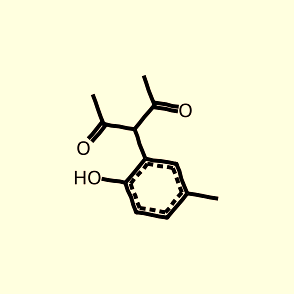 CC(=O)C(C(C)=O)c1cc(C)ccc1O